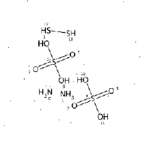 N.N.O=S(=O)(O)O.O=S(=O)(O)O.SS